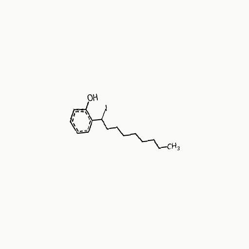 CCCCCCCCC(I)c1ccccc1O